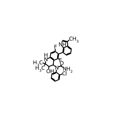 Cc1c[nH]c2c(-c3c(F)cc4c(c3F)C(N(C(N)=O)c3ccccc3Cl)C(O)C(C)(C)N4)cccc12